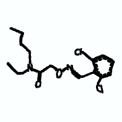 CCCCN(CC)C(=O)CON=Cc1c(Cl)cccc1Cl